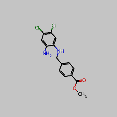 COC(=O)c1ccc(CNc2cc(Cl)c(Cl)cc2N)cc1